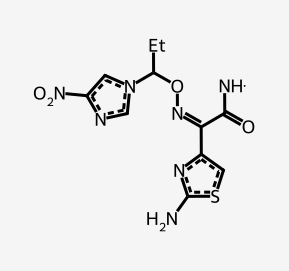 CCC(ON=C(C([NH])=O)c1csc(N)n1)n1cnc([N+](=O)[O-])c1